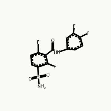 NS(=O)(=O)c1ccc(F)c(C(=O)Nc2ccc(F)c(F)c2)c1F